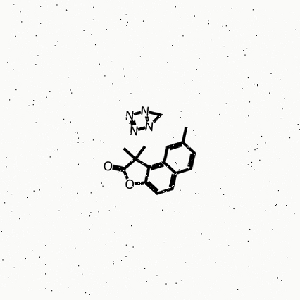 C1n2nnn21.Cc1ccc2ccc3c(c2c1)C(C)(C)C(=O)O3